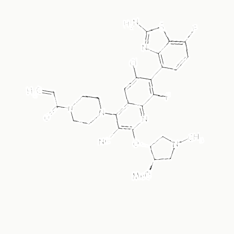 C=CC(=O)N1CCN(c2c(C#N)c(O[C@@H]3CN(C)C[C@H]3OC)nc3c(F)c(-c4ccc(F)c5sc(N)nc45)c(Cl)cc23)CC1